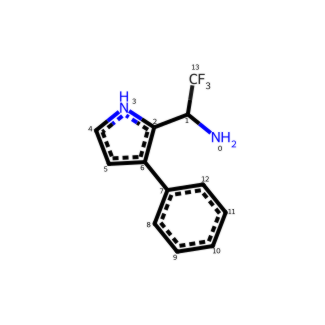 NC(c1[nH]ccc1-c1ccccc1)C(F)(F)F